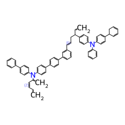 C=C/C=C\C(=C)N(c1ccc(-c2ccccc2)cc1)c1ccc(-c2ccc(-c3cccc(/C=C/CC(C=C)c4ccc(N(c5ccccc5)c5ccc(C6C=CC=CC6)cc5)cc4)c3)cc2)cc1